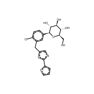 OC[C@H]1O[C@@H](c2ccc(Cl)c(Cc3cnc(-c4cccs4)s3)c2)[C@H](O)[C@@H](O)[C@@H]1O